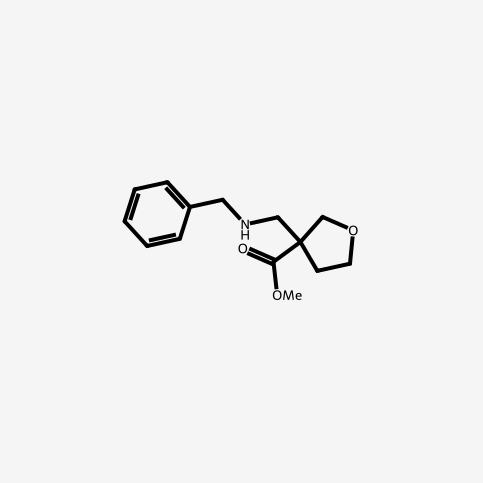 COC(=O)C1(CNCc2ccccc2)CCOC1